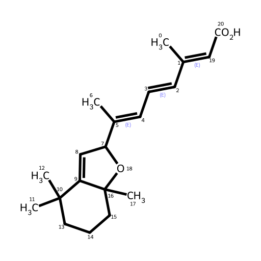 CC(/C=C/C=C(\C)C1C=C2C(C)(C)CCCC2(C)O1)=C\C(=O)O